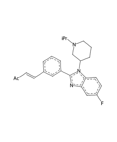 CC(=O)/C=C/c1cccc(-c2nc3cc(F)ccc3n2C2CCCN(C(C)C)C2)c1